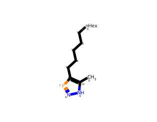 CCCCCCCCCCCc1pn[nH]c1C